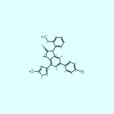 COc1ccccc1-n1c(=O)[nH]c2c(-c3noc(C)n3)nc(-c3ccc(C)cc3)nc21